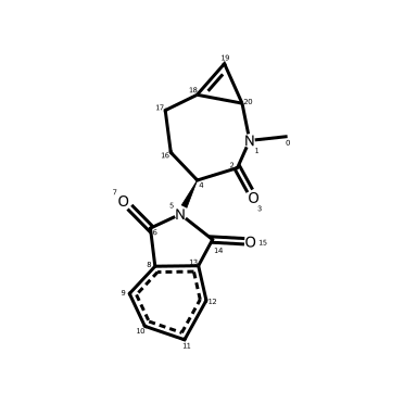 CN1C(=O)[C@@H](N2C(=O)c3ccccc3C2=O)CCC2=CC21